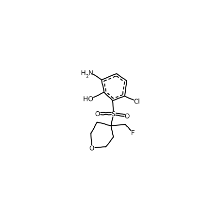 Nc1ccc(Cl)c(S(=O)(=O)C2(CF)CCOCC2)c1O